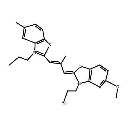 CCC[n+]1c(/C=C(C)/C=C2\Sc3ccc(OC)cc3N2CCO)sc2ccc(C)cc21